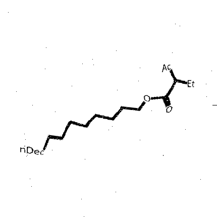 CCCCCCCCCCCCCCCCCCOC(=O)C(CC)C(C)=O